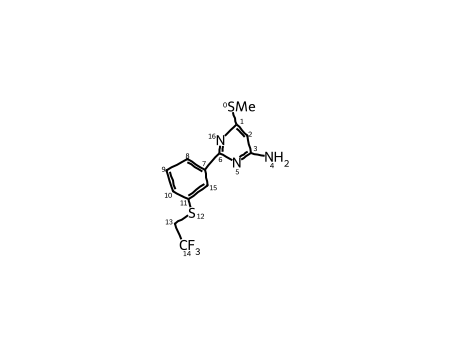 CSc1cc(N)nc(-c2cccc(SCC(F)(F)F)c2)n1